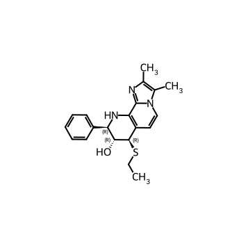 CCS[C@@H]1c2ccn3c(C)c(C)nc3c2N[C@H](c2ccccc2)[C@H]1O